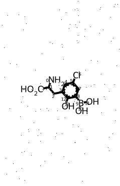 NC(Cc1cc(Cl)cc(B(O)O)c1O)C(=O)O